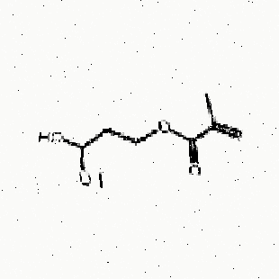 C=C(C)C(=O)OCCC(O)O